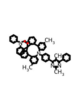 Cc1ccc2c(c1)-c1ccccc1C1(c3ccccc3-c3cc(C)ccc3N2c2ccc(-c3nc(C)nc(-c4ccccc4)c3C)cc2)c2ccccc2N(c2ccccc2)c2ccccc21